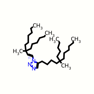 CCCCCCC(C)(/C=C/n1nncc1CCCCC(C)(CCCCC)CCCCCC)CCCCCC